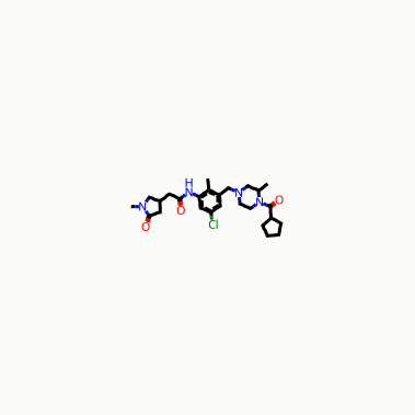 Cc1c(CN2CCN(C(=O)C3CCCC3)C(C)C2)cc(Cl)cc1NC(=O)CC1CC(=O)N(C)C1